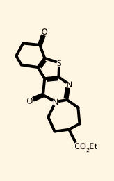 CCOC(=O)C1CCc2nc3sc4c(c3c(=O)n2CC1)CCCC4=O